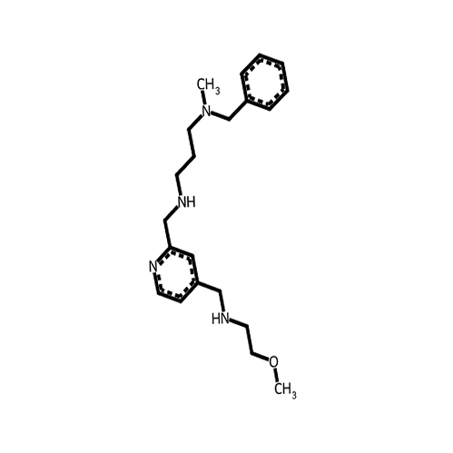 COCCNCc1ccnc(CNCCCN(C)Cc2ccccc2)c1